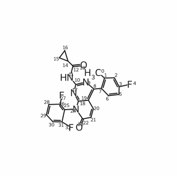 Cc1cc(F)ccc1-c1nc(NC(=O)C2CC2)nc2c1ccc(=O)n2-c1c(F)cccc1F